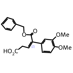 COc1ccc(/C(=C/CC(=O)O)C(=O)OCc2ccccc2)cc1OC